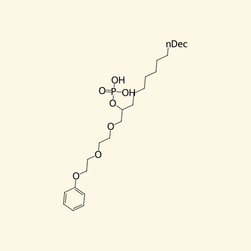 CCCCCCCCCCCCCCCCCC(COCCOCCOc1ccccc1)OP(=O)(O)O